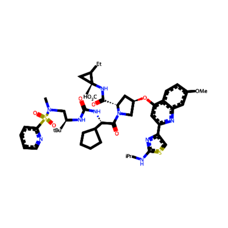 CCC1C[C@]1(NC(=O)[C@@H]1C[C@@H](Oc2cc(-c3csc(NC(C)C)n3)nc3cc(OC)ccc23)CN1C(=O)[C@@H](NC(=O)N[C@H](CN(C)S(=O)(=O)c1ccccn1)C(C)(C)C)C1CCCC1)C(=O)O